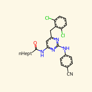 CCCCCCCC(=O)Nc1cc(Cc2c(Cl)cccc2Cl)nc(Nc2ccc(C#N)cc2)n1